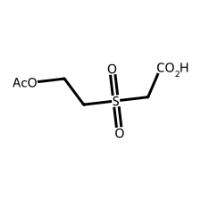 CC(=O)OCCS(=O)(=O)CC(=O)O